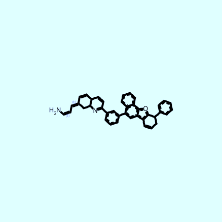 N/C=C\C=C1\C=CC2C=CC(c3cccc(-c4cc5c6c(oc5c5ccccc45)C(c4ccccc4)CC=C6)c3)=NC2C1